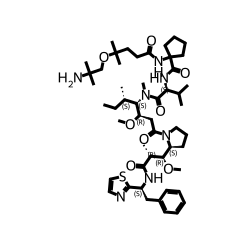 CC[C@H](C)[C@@H]([C@@H](CC(=O)N1CCC[C@H]1[C@H](OC)[C@@H](C)C(=O)N[C@@H](Cc1ccccc1)c1nccs1)OC)N(C)C(=O)[C@@H](NC(=O)C1(NC(=O)CCC(C)(C)OCC(C)(C)N)CCCC1)C(C)C